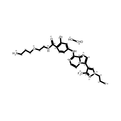 CCc1cc(Nc2nccn3c(-c4cn(CCF)nc4C(F)(F)F)cnc23)ccc1C(=O)NCCOCCCN.O=CO